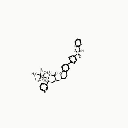 CC(C)(C)[Si](C)(C)O[C@@H](CN(C[C@H]1CCc2cc(-c3ccc(S(=O)(=O)Nc4ncccn4)cc3)ccc2O1)C(=O)O)c1cccnc1